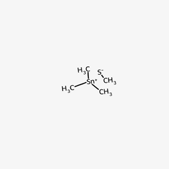 C[S-].[CH3][Sn+]([CH3])[CH3]